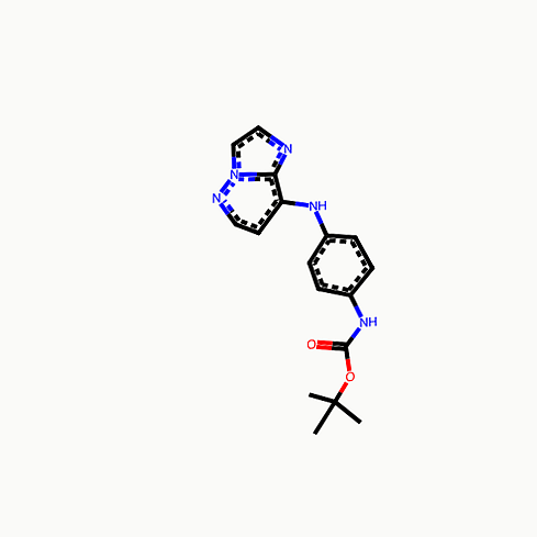 CC(C)(C)OC(=O)Nc1ccc(Nc2ccnn3ccnc23)cc1